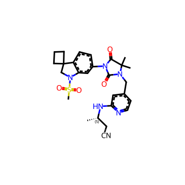 C[C@@H](CC#N)Nc1cc(CN2C(=O)N(c3ccc4c(c3)N(S(C)(=O)=O)CC43CCC3)C(=O)C2(C)C)ccn1